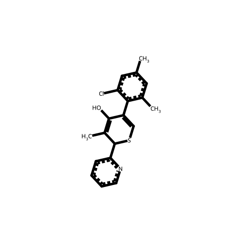 CC1=C(O)C(c2c(C)cc(C)cc2Cl)=CSC1c1ccccn1